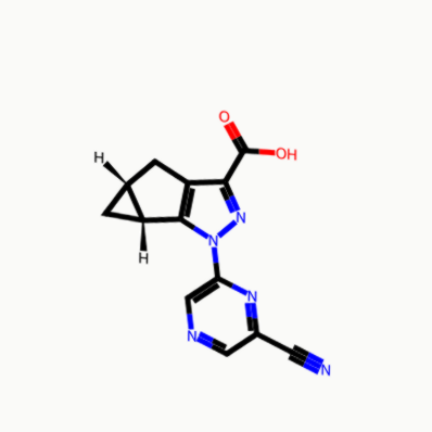 N#Cc1cncc(-n2nc(C(=O)O)c3c2[C@@H]2C[C@@H]2C3)n1